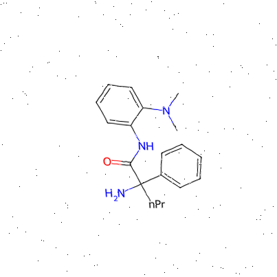 CCCC(N)(C(=O)Nc1ccccc1N(C)C)c1ccccc1